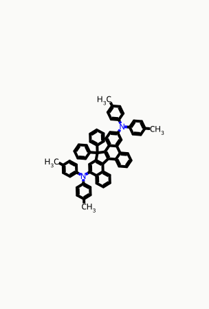 Cc1ccc(N(c2ccc(C)cc2)c2ccc3c4c(c5ccccc5c3c2)-c2c(cc(N(c3ccc(C)cc3)c3ccc(C)cc3)c3ccccc23)C4(c2ccccc2)c2ccccc2)cc1